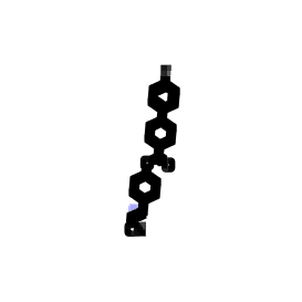 N#C/C=C/C1CCC(OC(=O)C2CCC(c3ccc(F)cc3)CC2)CC1